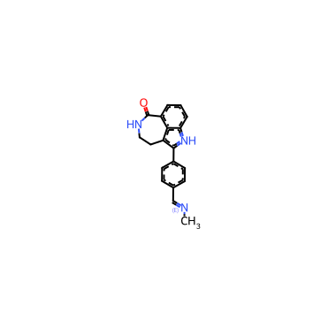 C/N=C/c1ccc(-c2[nH]c3cccc4c3c2CCNC4=O)cc1